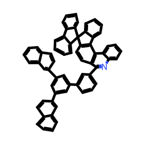 c1cc(-c2cc(-c3ccc4ccccc4c3)cc(-c3ccc4ccccc4c3)c2)cc(-c2nc3ccccc3c3c4c(ccc23)C2(c3ccccc3-c3ccccc32)c2ccccc2-4)c1